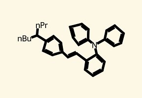 CCCCC(CCC)c1ccc(C=Cc2ccccc2N(c2ccccc2)c2ccccc2)cc1